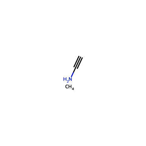 C.C#CN